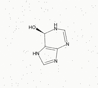 O[C@H]1NC=Nc2nc[nH]c21